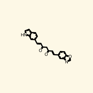 O=C(C=Cc1ccc2ocnc2c1)CC(=O)C=Cc1ccc2cc[nH]c2c1